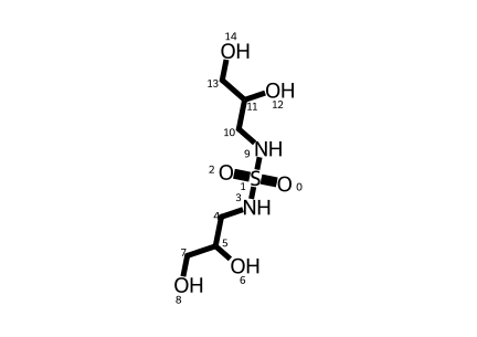 O=S(=O)(NCC(O)CO)NCC(O)CO